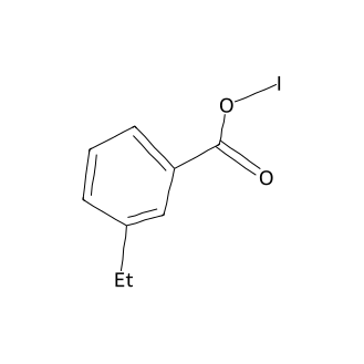 CCc1cccc(C(=O)OI)c1